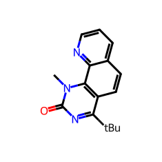 Cn1c(=O)nc(C(C)(C)C)c2ccc3cccnc3c21